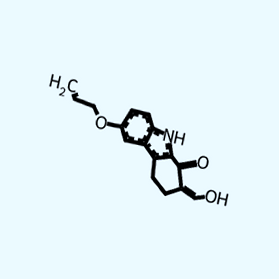 C=CCOc1ccc2[nH]c3c(c2c1)CC/C(=C/O)C3=O